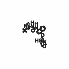 Cn1nc(C(C)(C)C)cc1NC(=O)Nc1ccc(OCC[N+]2(O)CCOCC2)c2ccccc12